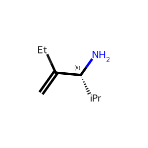 C=C(CC)[C@H](N)C(C)C